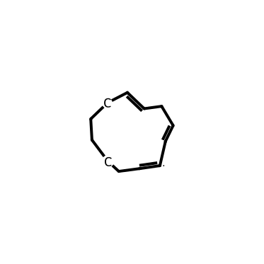 [C]1=C\CCCCC/C=C/C/C=C/1